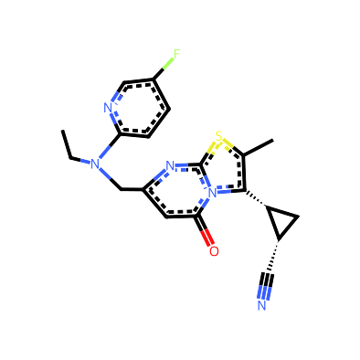 CCN(Cc1cc(=O)n2c([C@@H]3C[C@@H]3C#N)c(C)sc2n1)c1ccc(F)cn1